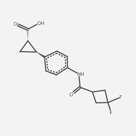 O=C(Nc1ccc([C@H]2C[C@@H]2C(=O)O)cc1)C1CC(F)(F)C1